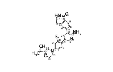 CC(C)C1CN(c2ccc(-c3cnc(N)c(-c4ccc5c(c4)CCNC5=O)c3)c(F)c2)CCO1